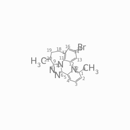 Cc1cccc(-c2nnc3n2-c2ccc(Br)cc2CCC3C)n1